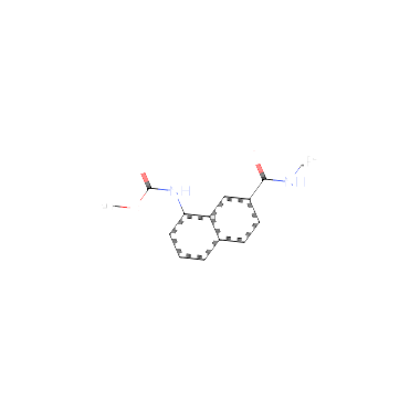 CC(C)NC(=O)c1ccc2cccc(NC(=O)OC(C)(C)C)c2c1